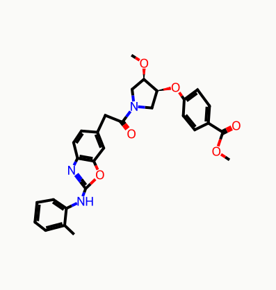 COC(=O)c1ccc(O[C@H]2CN(C(=O)Cc3ccc4nc(Nc5ccccc5C)oc4c3)C[C@H]2OC)cc1